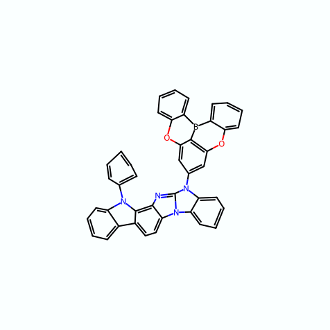 c1ccc(-n2c3ccccc3c3ccc4c(nc5n(-c6cc7c8c(c6)Oc6ccccc6B8c6ccccc6O7)c6ccccc6n45)c32)cc1